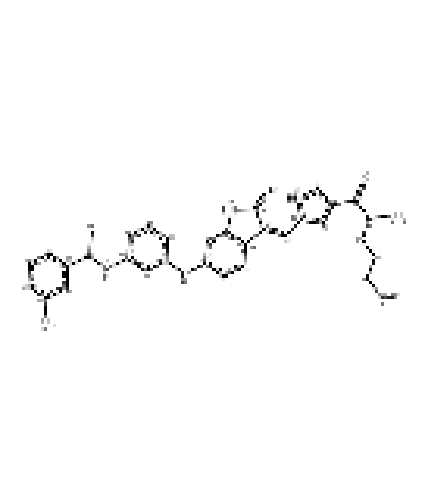 CNCCCN(C)C(=O)c1c[nH]c(/C=C2\C(=O)Nc3cc(Oc4cccc(NC(=O)c5cccc(C(F)(F)F)c5)c4)ccc32)c1